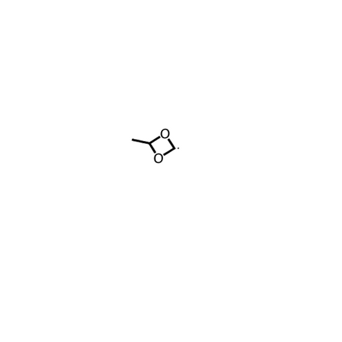 CC1O[CH]O1